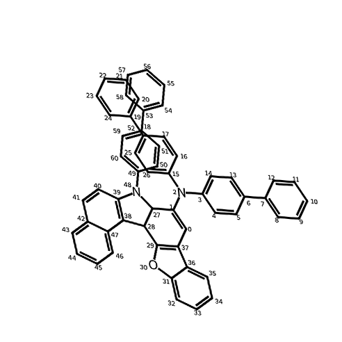 C1=C(N(c2ccc(-c3ccccc3)cc2)c2ccc(-c3ccccc3)cc2)C2C(c3oc4ccccc4c31)c1c(ccc3ccccc13)N2c1ccc(-c2ccccc2)cc1